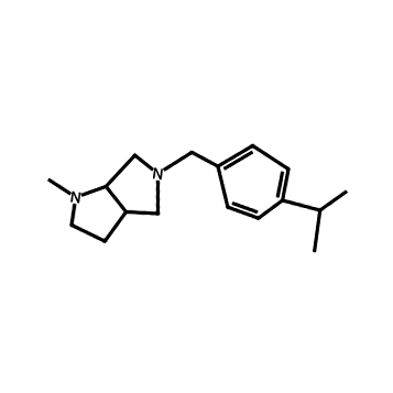 CC(C)c1ccc(CN2CC3CCN(C)C3C2)cc1